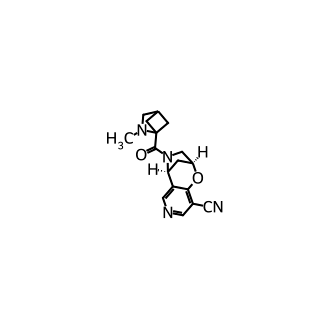 CN1CC2CC1(C(=O)N1C[C@@H]3C[C@H]1c1cncc(C#N)c1O3)C2